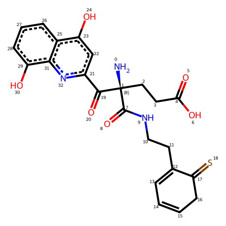 N[C@@](CCC(=O)O)(C(=O)NCCC1=CC=CCC1=S)C(=O)c1cc(O)c2cccc(O)c2n1